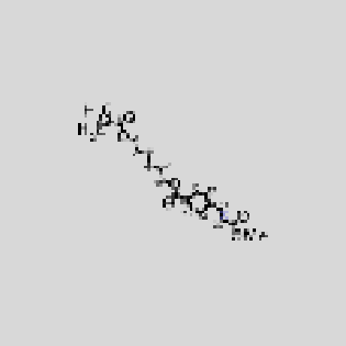 C=C(C)C(=O)OCCCCCCOC(=O)c1ccc(/C=C/C(=O)OC)cc1